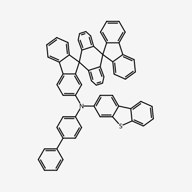 c1ccc(-c2ccc(N(c3ccc4c(c3)C3(c5ccccc5-4)c4ccccc4C4(c5ccccc5-c5ccccc54)c4ccccc43)c3ccc4c(c3)sc3ccccc34)cc2)cc1